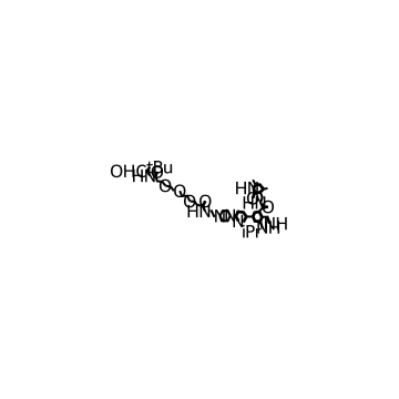 Cc1cc(C)c(CNC(=O)c2cc(-c3ccc(N4CCN(CCNC(=O)CCOCCOCCOCCC(=O)NC(C=O)C(C)(C)C)CC4)nc3)cc(NC(C)C)c2C=N)c(=O)[nH]1